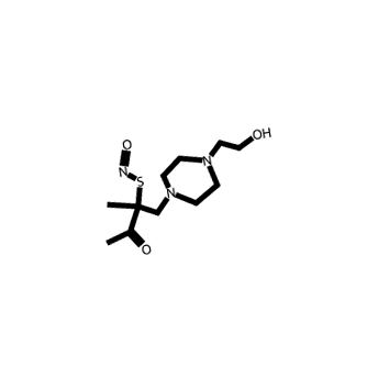 CC(=O)C(C)(CN1CCN(CCO)CC1)SN=O